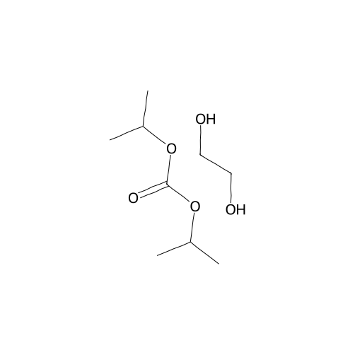 CC(C)OC(=O)OC(C)C.OCCO